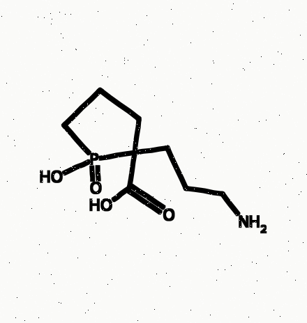 NCCCC1(C(=O)O)CCCP1(=O)O